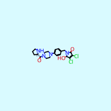 O=C([C@@H]1CCCN1)N1CCN(c2ccc(CN3C(=O)C(Cl)=C(Cl)C3O)cc2)CC1